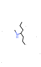 [CH2]CCC(CCC)NC